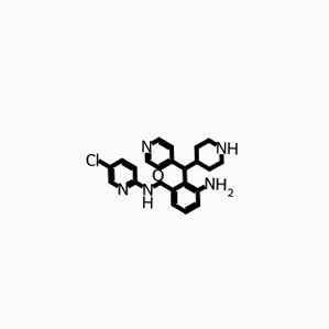 Nc1cccc(C(=O)Nc2ccc(Cl)cn2)c1C(c1ccncc1)C1CCNCC1